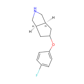 Fc1ccc(OC2C[C@H]3CNC[C@H]3C2)cc1